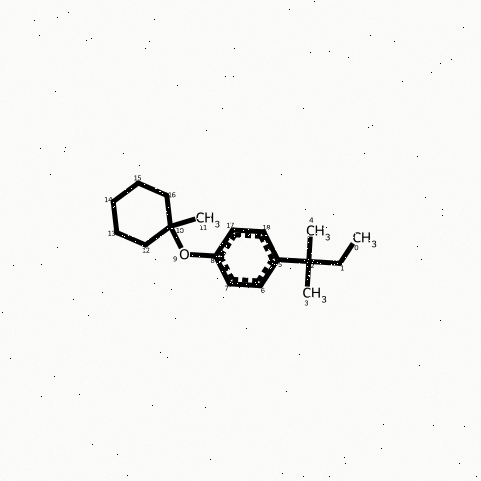 CCC(C)(C)c1ccc(OC2(C)CCCCC2)cc1